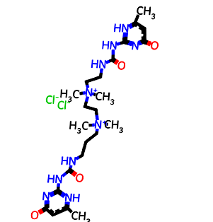 Cc1cc(=O)nc(NC(=O)NCCC[N+](C)(C)CC[N+](C)(C)CCNC(=O)Nc2nc(=O)cc(C)[nH]2)[nH]1.[Cl-].[Cl-]